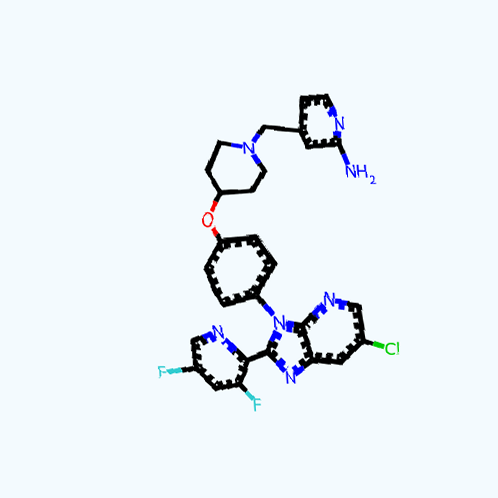 Nc1cc(CN2CCC(Oc3ccc(-n4c(-c5ncc(F)cc5F)nc5cc(Cl)cnc54)cc3)CC2)ccn1